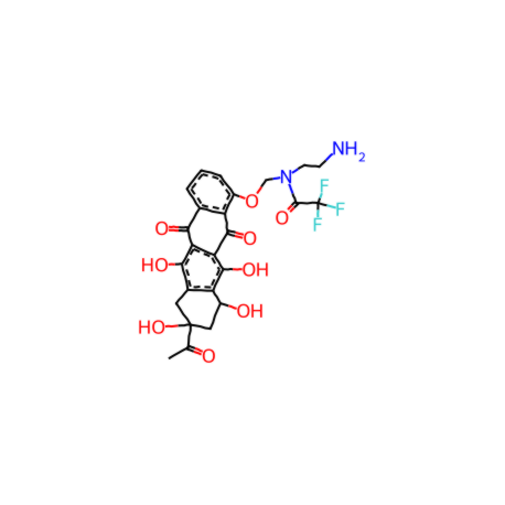 CC(=O)C1(O)Cc2c(O)c3c(c(O)c2C(O)C1)C(=O)c1c(OCN(CCN)C(=O)C(F)(F)F)cccc1C3=O